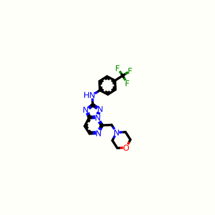 FC(F)(F)c1ccc(Nc2nc3ccnc(CN4CCOCC4)n3n2)cc1